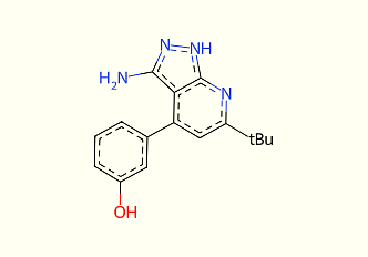 CC(C)(C)c1cc(-c2cccc(O)c2)c2c(N)n[nH]c2n1